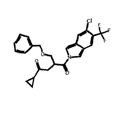 O=C(CC(COCc1ccccc1)C(=O)n1cc2cc(Cl)c(C(F)(F)F)cc2c1)C1CC1